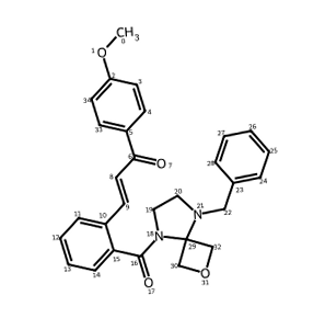 COc1ccc(C(=O)/C=C/c2ccccc2C(=O)N2CCN(Cc3ccccc3)C23COC3)cc1